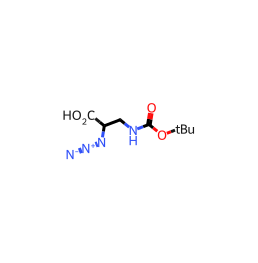 CC(C)(C)OC(=O)NCC(N=[N+]=[N-])C(=O)O